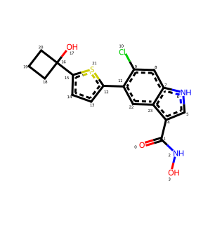 O=C(NO)c1c[nH]c2cc(Cl)c(-c3ccc(C4(O)CCC4)s3)cc12